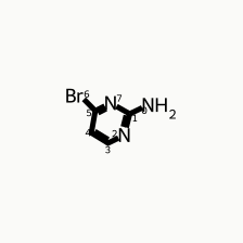 Nc1nccc(Br)n1